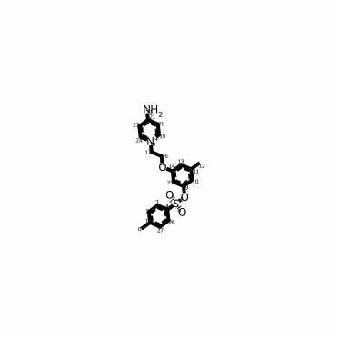 Cc1ccc(S(=O)(=O)Oc2cc(C)cc(OCC[n+]3ccc(N)cc3)c2)cc1